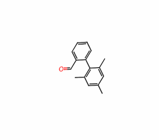 Cc1cc(C)c(-c2ccccc2C=O)c(C)c1